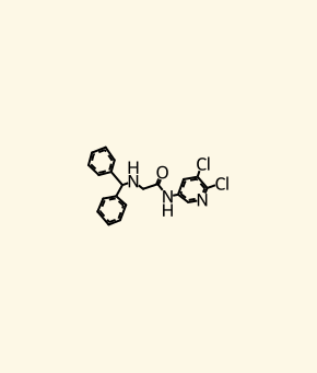 O=C(CNC(c1ccccc1)c1ccccc1)Nc1cnc(Cl)c(Cl)c1